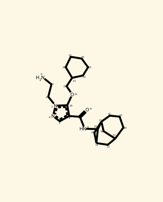 NCCn1ncc(C(=O)NC2C3CC4CCCC2(C4)C3)c1OCC1CCCCC1